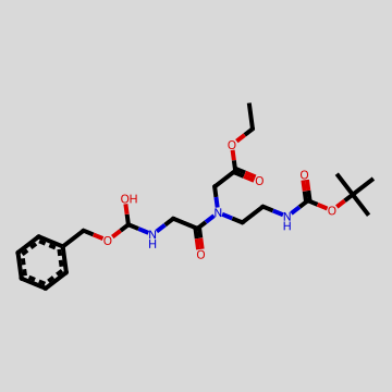 CCOC(=O)CN(CCNC(=O)OC(C)(C)C)C(=O)CNC(O)OCc1ccccc1